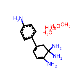 NC1=CC=C(c2ccc(N)cc2)CC1(N)N.O.O.O.O